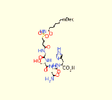 CCCCCCCCCCCCCCCC(=O)NS(=O)(=O)CCCC(=O)NCC(=O)N[C@@H](CO)C(=O)N[C@@H](CC(N)=O)C(=O)N[C@@H](Cc1c[nH]cn1)C(=O)O